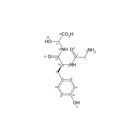 NCC(=O)N[C@@H](Cc1ccc(O)cc1)C(=O)NC(O)C(=O)O